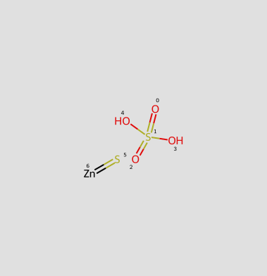 O=S(=O)(O)O.[S]=[Zn]